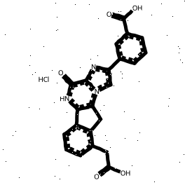 Cl.O=C(O)Cc1cccc2c1Cc1c-2[nH]c(=O)c2nc(-c3cccc(C(=O)O)c3)cn12